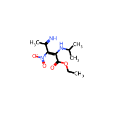 CCOC(=O)/C(NC(C)C)=C(/C(C)=N)[N+](=O)[O-]